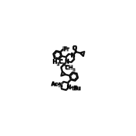 CC(=O)N1CCN(C(C)(C)C)C(c2ccccc2C2CC2CC(C)(C)N2CCN(C(=O)C3CC3)CC2c2ccccc2C(C)C)C1